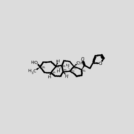 C[C@@]1(O)CC[C@H]2[C@H](CC[C@@H]3[C@@H]2CC[C@]2(C)[C@@H](C(=O)Cc4ccco4)CC[C@@H]32)C1